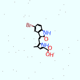 Cc1cc(C(=O)O)[nH]c1C=C1C(=O)Nc2ccc(Br)cc21